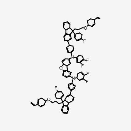 C=CC1=CCC(OCCCC2(C3=CC=C(F)CC3)c3ccccc3C3C=CC(c4ccc(N(c5ccc6c(c5)C5C=C(N(C7=CCC(c8ccc9c(c8)C(CCCOC8C=CC(C=C)CC8)(C8=CC=C(F)CC8)C8C=CC=CC98)C=C7)C7=CC(F)=C(F)CC7)C=CC5O6)C5C=C(F)C(F)=CC5)cc4)=CC32)C=C1